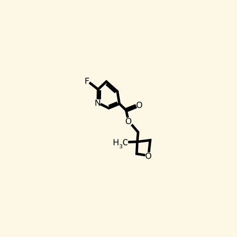 CC1(COC(=O)c2ccc(F)nc2)COC1